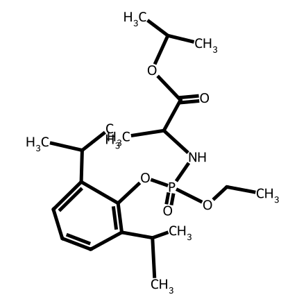 CCOP(=O)(NC(C)C(=O)OC(C)C)Oc1c(C(C)C)cccc1C(C)C